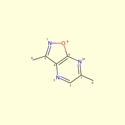 Cc1cnc2c(C)noc2n1